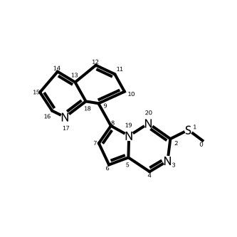 CSc1ncc2ccc(-c3cccc4cccnc34)n2n1